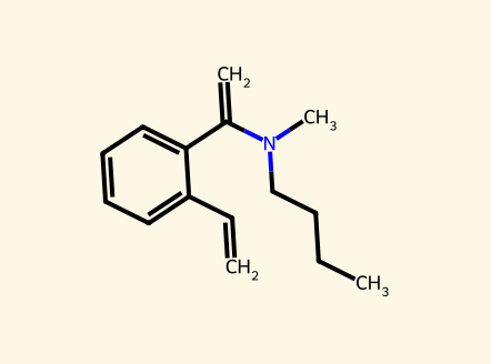 C=Cc1ccccc1C(=C)N(C)CCCC